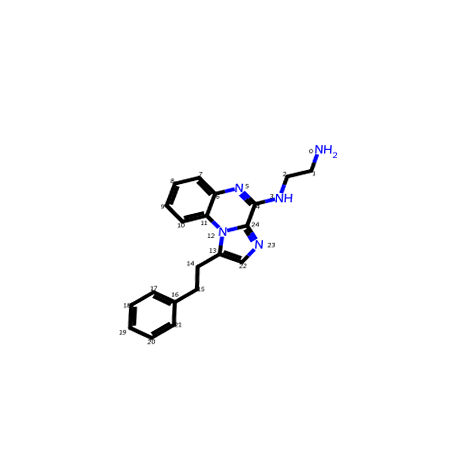 NCCNc1nc2ccccc2n2c(CCc3ccccc3)cnc12